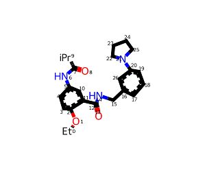 CCOc1ccc(NC(=O)C(C)C)cc1C(=O)NCc1cccc(N2CCCC2)c1